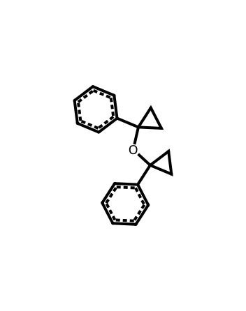 c1ccc(C2(OC3(c4ccccc4)CC3)CC2)cc1